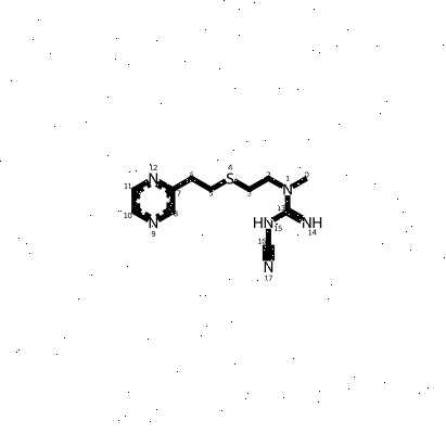 CN(CCSCCc1cnccn1)C(=N)NC#N